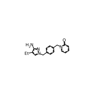 [CH2]Cc1cn(Cc2ccc(Cn3ccccc3=O)cc2)nc1N